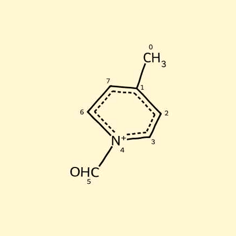 Cc1cc[n+](C=O)cc1